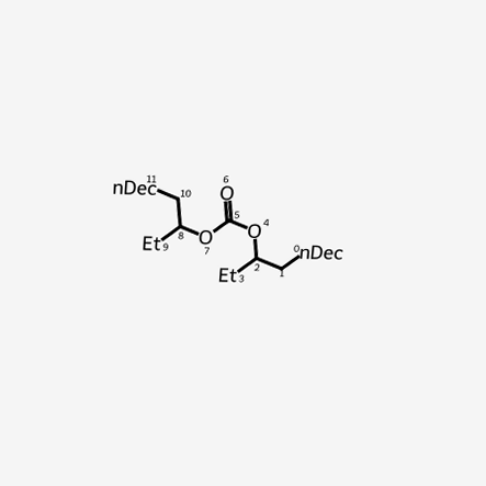 CCCCCCCCCCCC(CC)OC(=O)OC(CC)CCCCCCCCCCC